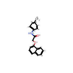 O=C(COc1cccc2ccccc12)Nc1ccc(C(F)(F)F)cc1